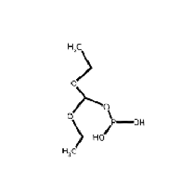 CCOC(OCC)OP(O)O